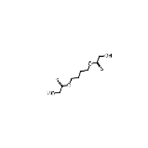 OCC(=S)OCCCCOC(=S)CO